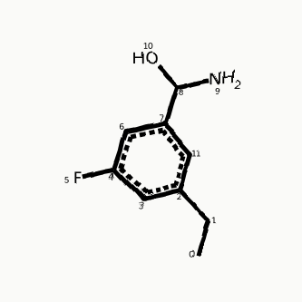 CCc1cc(F)cc(C(N)O)c1